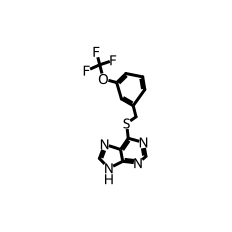 FC(F)(F)Oc1cccc(CSc2ncnc3[nH]cnc23)c1